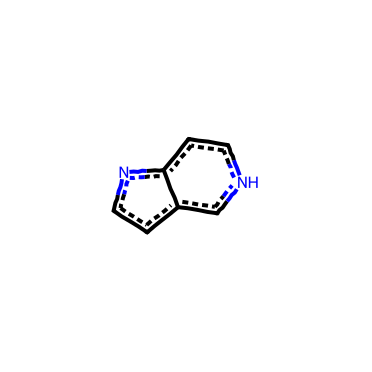 c1cc2c[nH]ccc-2n1